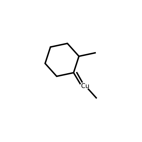 [CH3][Cu]=[C]1CCCCC1C